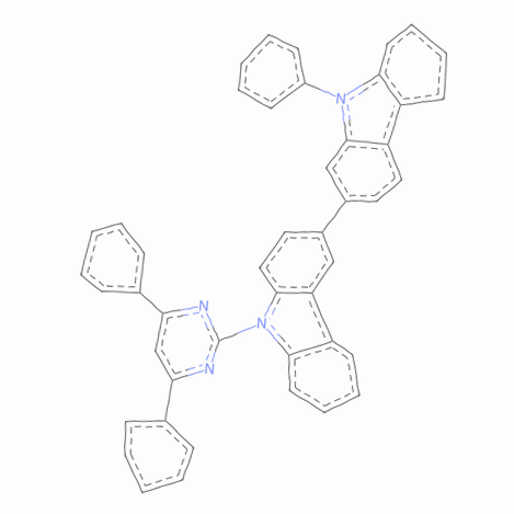 c1ccc(-c2cc(-c3ccccc3)nc(-n3c4ccccc4c4cc(-c5ccc6c7ccccc7n(-c7ccccc7)c6c5)ccc43)n2)cc1